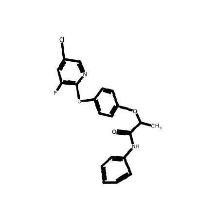 CC(Oc1ccc(Oc2ncc(Cl)cc2F)cc1)C(=O)Nc1ccccc1